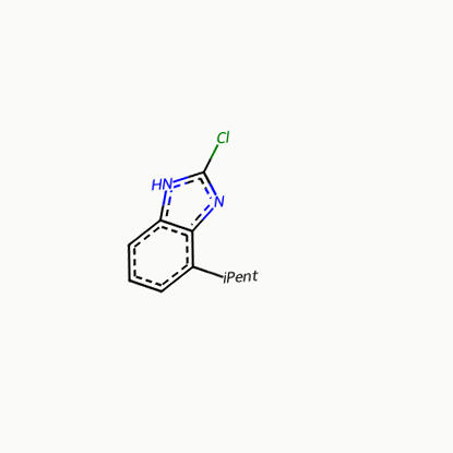 CCCC(C)c1cccc2[nH]c(Cl)nc12